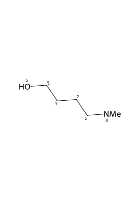 CNCCC[C]O